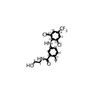 O=C(NCCO)c1cc(Nc2c(Cl)cc(C(F)(F)F)cc2Cl)ccc1F